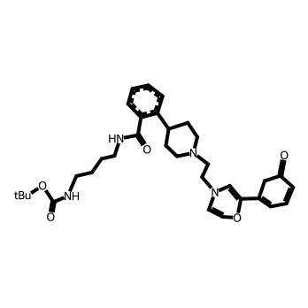 CC(C)(C)OC(=O)NCCCCNC(=O)c1ccccc1C1CCN(CCN2C=COC(C3=CC=CC(=O)C3)=C2)CC1